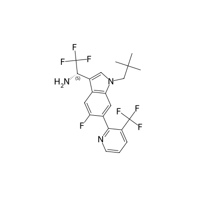 CC(C)(C)Cn1cc([C@H](N)C(F)(F)F)c2cc(F)c(-c3ncccc3C(F)(F)F)cc21